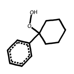 OOC1(c2ccccc2)CCCCC1